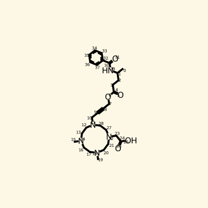 CC(CCC(=O)OCC#CCN1CCN(C)CCN(C)CCN(CC(=O)O)CC1)NC(=O)c1ccccc1